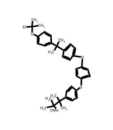 CCC(C)(C)Oc1ccc(C(C)(C)c2ccc(Oc3ccc(Sc4ccc(C(C)(C)C(C)(C)OC)cc4)cc3)cc2)cc1